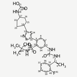 C[C@H](NC(=O)Nc1ccc(-c2cnc(C3CCC(NC(=O)O)CC3)s2)c(S(=O)(=O)NC(C)(C)C)c1)c1ccccc1F